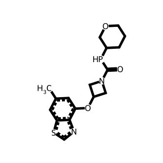 Cc1cc(OC2CN(C(=O)PC3CCCOC3)C2)c2ncsc2c1